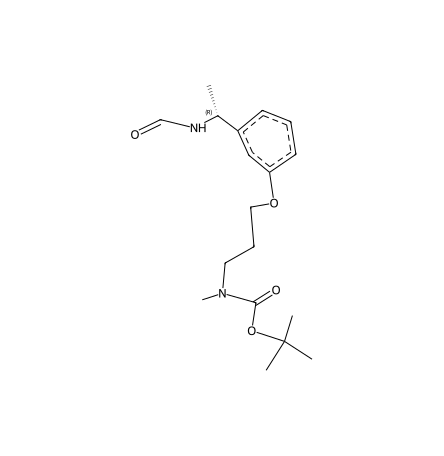 C[C@@H](NC=O)c1cccc(OCCCN(C)C(=O)OC(C)(C)C)c1